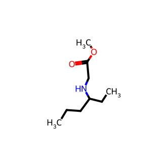 CCCC(CC)NCC(=O)OC